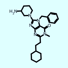 Cn1c(CCC2CCCCC2)nc2nc(N3CCCC(N)C3)n(Cc3ccccc3)c2c1=O